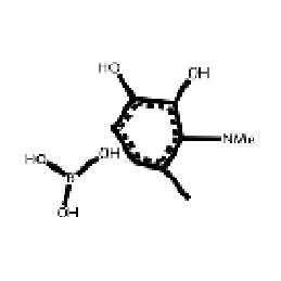 CNc1c(C)ccc(O)c1O.OB(O)O